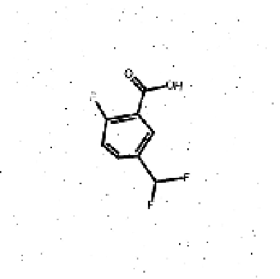 O=C(O)c1cc(C(F)F)ccc1F